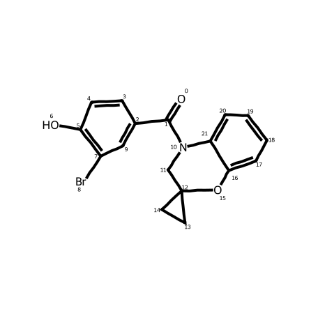 O=C(c1ccc(O)c(Br)c1)N1CC2(CC2)Oc2ccccc21